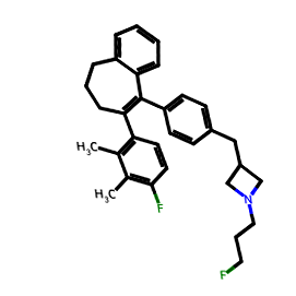 Cc1c(F)ccc(C2=C(c3ccc(CC4CN(CCCF)C4)cc3)c3ccccc3CCC2)c1C